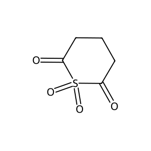 O=C1CCCC(=O)S1(=O)=O